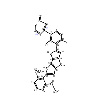 C=C/C=C(\C=C/C)c1ccc(C)c(-c2cc3sc4cc(-c5c(OC)cccc5OC(C)C)sc4c3s2)c1C